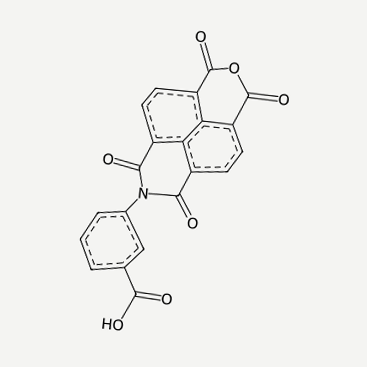 O=C(O)c1cccc(N2C(=O)c3ccc4c5c(ccc(c35)C2=O)C(=O)OC4=O)c1